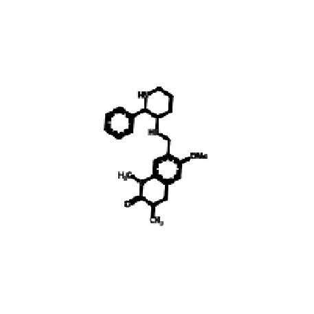 COc1cc2c(cc1CNC1CCCNC1c1ccccc1)N(C)C(=O)C(C)C2